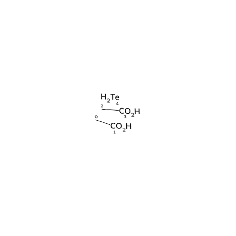 CC(=O)O.CC(=O)O.[TeH2]